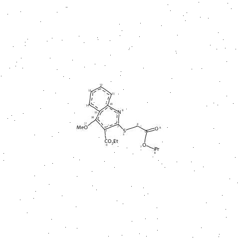 CCOC(=O)c1c(SCC(=O)OC(C)C)nc2ccccc2c1OC